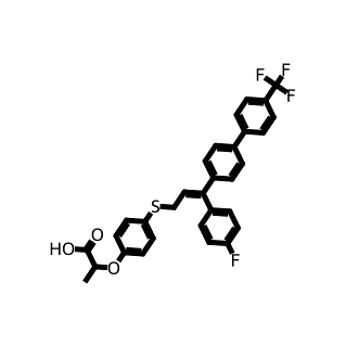 CC(Oc1ccc(SCC=C(c2ccc(F)cc2)c2ccc(-c3ccc(C(F)(F)F)cc3)cc2)cc1)C(=O)O